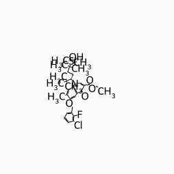 CCOC(=O)c1cn([C@H](CCC(C)(C)[Si](C)(C)O)C(C)(C)C)c2cc(C)c(OCc3cccc(Cl)c3F)cc2c1=O